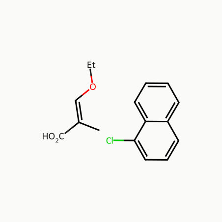 CCOC=C(C)C(=O)O.Clc1cccc2ccccc12